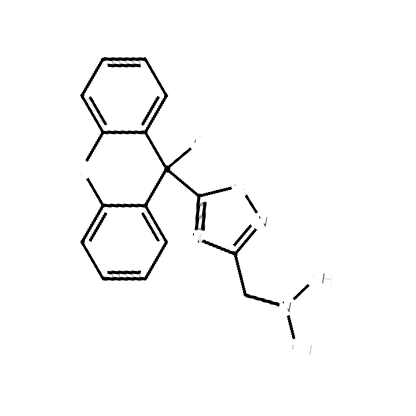 CN(C)Cc1noc(C2(C)c3ccccc3Oc3ccccc32)n1